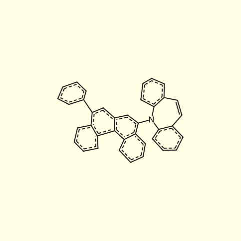 C1=Cc2ccccc2N(c2cc3cc(-c4ccccc4)c4ccccc4c3c3ccccc23)c2ccccc21